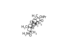 CC1=C(OC(C)C)C(=O)C=C2C1=CC=C1C3(C)CC[C@@]4(C)CC[C@@](C)(C(N)=O)C[C@H]4[C@]3(C)CC[C@@]21C